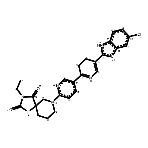 CCN1C(=O)OC2(CCCN(c3ccc(C4=NC=C(c5nc6cc(Cl)ccc6[nH]5)CC4)cn3)C2)C1=O